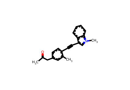 CC(=O)Cc1ccc(C#Cc2cn(C)c3ccccc23)c(C)c1